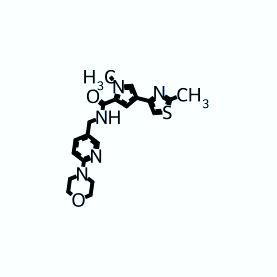 Cc1nc(-c2cc(C(=O)NCc3ccc(N4CCOCC4)nc3)n(C)c2)cs1